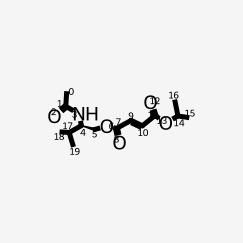 CC(=O)N[C@@H](COC(=O)/C=C/C(=O)OC(C)C)C(C)C